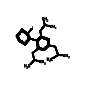 CC(C)Cc1cc(CC(C)C)c(-c2ccccc2I)c(CC(C)C)c1